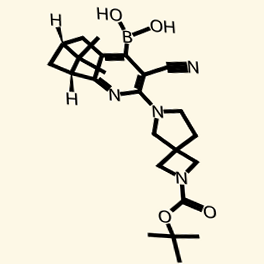 CC(C)(C)OC(=O)N1CC2(CCN(c3nc4c(c(B(O)O)c3C#N)C[C@H]3C[C@@H]4C3(C)C)C2)C1